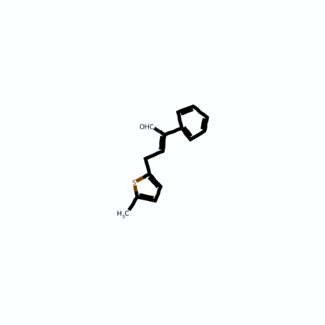 Cc1ccc(CC=C(C=O)c2ccccc2)s1